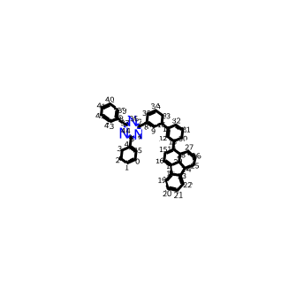 C1=CCCC(c2nc(C3=CC(C4=CC(C5=CC=C6c7ccccc7C7CC=CC5C67)CC=C4)CC=C3)nc(-c3ccccc3)n2)=C1